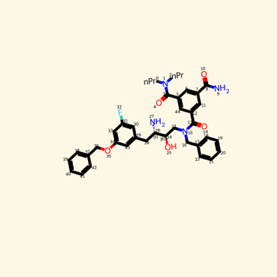 CCCN(CCC)C(=O)c1cc(C(N)=O)cc(C(=O)N(Cc2ccccc2)C[C@@H](O)[C@@H](N)Cc2cc(F)cc(OCc3ccccc3)c2)c1